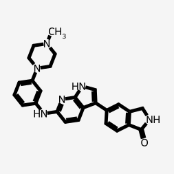 CN1CCN(c2cccc(Nc3ccc4c(-c5ccc6c(c5)CNC6=O)c[nH]c4n3)c2)CC1